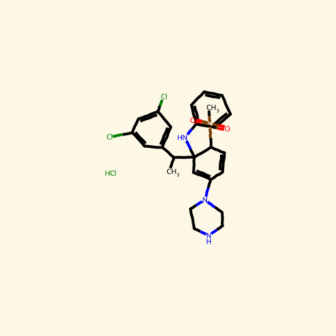 CC(c1cc(Cl)cc(Cl)c1)C1(Nc2ccccc2)C=C(N2CCNCC2)C=CC1S(C)(=O)=O.Cl